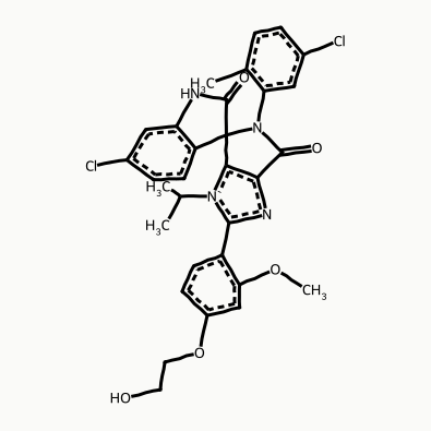 COc1cc(OCCO)ccc1-c1nc2c(n1C(C)C)C1(C(=O)Nc3cc(Cl)ccc31)N(c1cc(Cl)ccc1C)C2=O